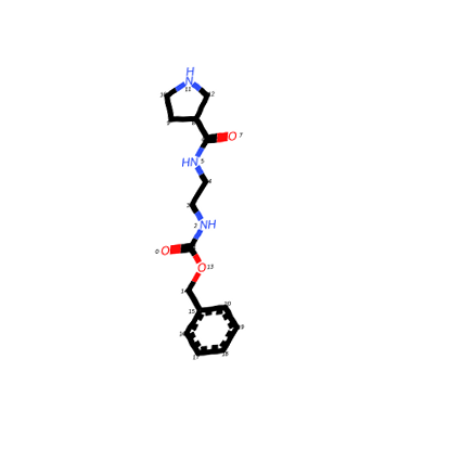 O=C(NCCNC(=O)C1CCNC1)OCc1ccccc1